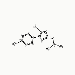 CN(C)Cn1cc(C#N)c(-c2ccc([N+](=O)[O-])cc2)n1